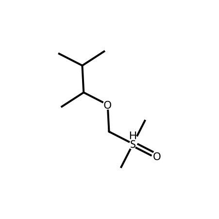 CC(C)C(C)OC[SH](C)(C)=O